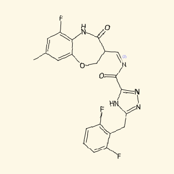 Cc1cc(F)c2c(c1)OCC(/C=N\C(=O)c1nnc(Cc3c(F)cccc3F)[nH]1)C(=O)N2